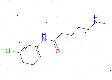 CNCCCCC(=O)NC1=CCCC(Cl)=C1